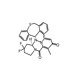 Cc1c2n(ccc1=O)N([C@@H]1c3ccccc3SCc3cccc(F)c31)[C@@H]1CC(F)(F)CCN1C2=O